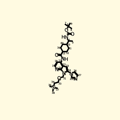 CC(NC(=O)OC(C)(C)C)C1CCC(C(=O)Nc2ccnc3c2cc(-n2ccnc2)n3COCC[Si](C)(C)C)CC1